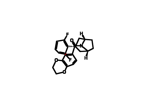 O=C(c1ccc2c(c1)OCCO2)N1[C@@H]2CC[C@H]1C[C@@H](c1c(F)cccc1F)C2